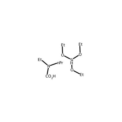 CCCN(CC)C(=O)O.CCO[SiH](OCC)OCC